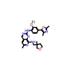 CCOc1cc(-c2oc(C)nc2C)ccc1Nc1ncc2cc(C)nc(NCC3(C)CCOC3)c2n1